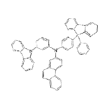 c1ccc(C2(c3ccc(N(c4cccc(-n5c6ccccc6c6ccccc65)c4)c4ccc5c(ccc6ccccc65)c4)cc3)c3ccccc3-c3ccccc32)cc1